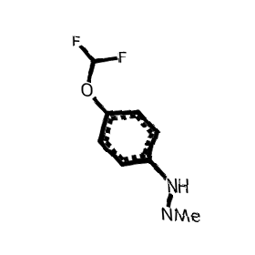 CNNc1ccc(OC(F)F)cc1